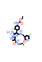 CCOC(=O)Nc1ccc(-c2c3nc4c(cnn4c2N)C(=O)NC[C@H](C)Oc2ncc(F)cc2CN3)c(F)c1